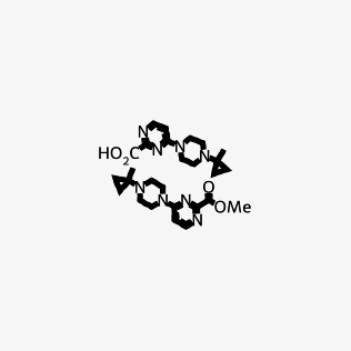 CC1(N2CCN(c3ccnc(C(=O)O)n3)CC2)CC1.COC(=O)c1nccc(N2CCN(C3(C)CC3)CC2)n1